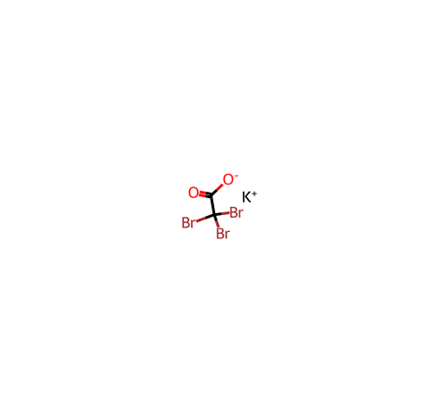 O=C([O-])C(Br)(Br)Br.[K+]